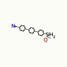 COC(C)[SiH2]c1ccc(-c2ccc(-c3ccc(C#N)cc3)cc2)cc1